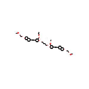 C=CC(=O)OCCCOc1ccc2cc(C#Cc3ccc(OCCCCCCOc4ccc(C#Cc5ccc6cc(OCCCOC(=O)C=C)ccc6c5)cc4C(=O)OCCC)c(C(=O)OCCC)c3)ccc2c1